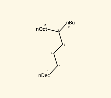 [CH2]CCCC(CCCCCCCC)CCCCCCCCCCCCC